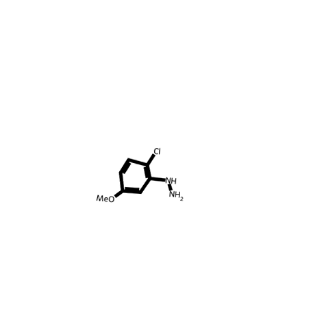 COc1ccc(Cl)c(NN)c1